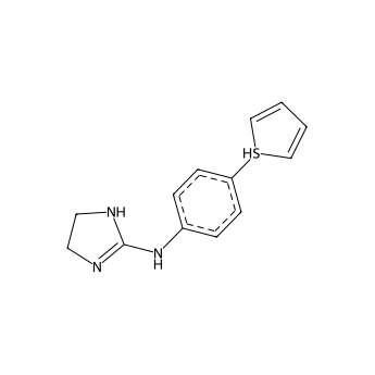 C1=C[SH](c2ccc(NC3=NCCN3)cc2)C=C1